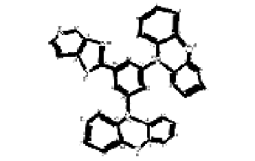 c1ccc2c(c1)Oc1ccccc1N2c1cc(-c2nc3cnccc3s2)cc(N2c3ccccc3Oc3ccccc32)c1